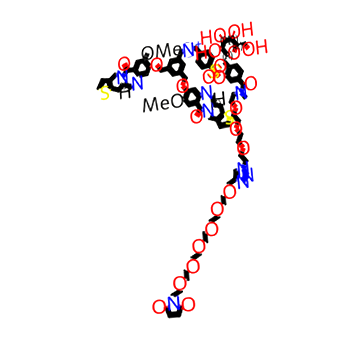 COc1cc2c(cc1OCc1cc(COc3cc4c(cc3OC)C(=O)N3Cc5ccsc5C[C@H]3C=N4)cc(C[N+](C)(C)Cc3ccc(S(=O)(=O)Oc4cc(C(=O)N(C)CCOCCOCCOCCn5cc(COCCOCCOCCOCCOCCOCCN6C(=O)C=CC6=O)nn5)ccc4C[C@H]4O[C@H](CO)[C@H](O)[C@H](O)C4O)cc3)c1)N=C[C@@H]1Cc3sccc3CN1C2=O